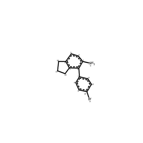 Nc1ccc2c(c1-c1ccc(Br)cc1)CCC2